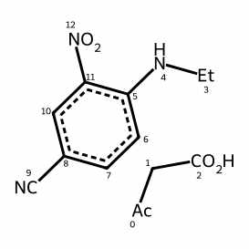 CC(=O)CC(=O)O.CCNc1ccc(C#N)cc1[N+](=O)[O-]